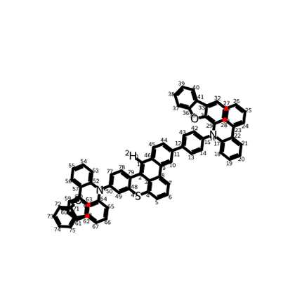 [2H]c1c2c3c(cccc3c3cc(-c4ccc(N(c5ccccc5-c5ccccc5)c5cccc6c5oc5ccccc56)cc4)ccc13)Sc1cc(N(c3ccccc3-c3ccccc3)c3cccc4c3oc3ccccc34)ccc1-2